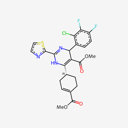 COC(=O)C1=CC[C@H](C2=C(C(=O)OC)C(c3ccc(F)c(F)c3Cl)N=C(c3nccs3)N2)CC1